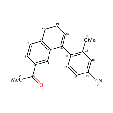 COC(=O)c1ccc2c(c1)C(c1ccc(C#N)cc1OC)=CCC2